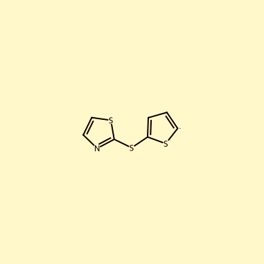 [c]1ccc(Sc2nccs2)s1